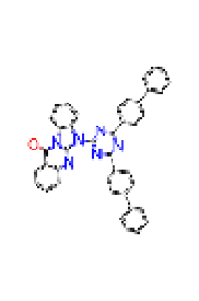 O=c1c2ccccc2nc2n(-c3nc(-c4ccc(-c5ccccc5)cc4)nc(-c4ccc(-c5ccccc5)cc4)n3)c3ccccc3n12